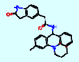 Cc1ccc(C(NC(=O)Cc2ccc3c(c2)CC(=O)N3)c2ccccc2)c(N2CCCCC2)c1